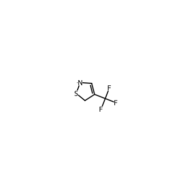 FC(F)(F)C1=C[N]SC1